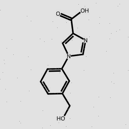 O=C(O)c1cn(-c2cccc(CO)c2)cn1